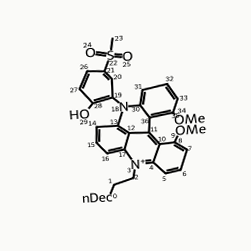 CCCCCCCCCCCC[n+]1c2cccc(OC)c2c2c3c(cccc31)N(c1cc(S(C)(=O)=O)ccc1O)c1cccc(OC)c1-2